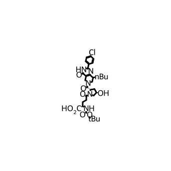 CCCCC1CN(C(=O)[C@@H]2C[C@@H](O)CN2C(=O)CC[C@@H](NC(=O)OC(C)(C)C)C(=O)O)Cc2c1nc(-c1ccc(Cl)cc1)[nH]c2=O